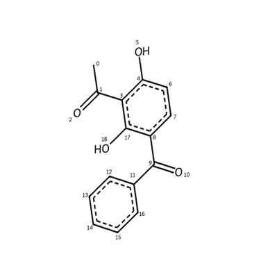 CC(=O)c1c(O)ccc(C(=O)c2ccccc2)c1O